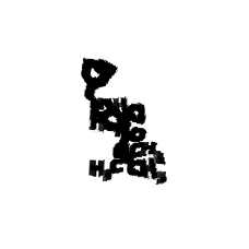 CC(C)(C)OC(=O)N1C[C@H]2CN(Cc3ccccc3)C[C@H]2C1=O